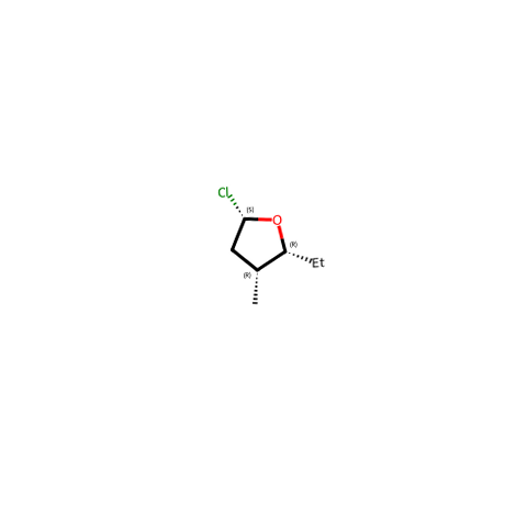 CC[C@H]1O[C@@H](Cl)C[C@H]1C